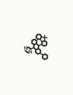 CC1(C)c2ccccc2-c2c(-c3c4ccccc4c(-c4cnccn4)c4ccc(-c5ccccc5)cc34)cccc21